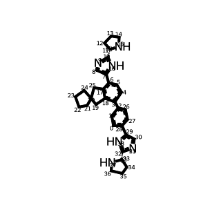 c1cc(-c2ccc(-c3cnc([C@@H]4CCCN4)[nH]3)c3c2CC2(CCCC2)C3)ccc1-c1cnc([C@@H]2CCCN2)[nH]1